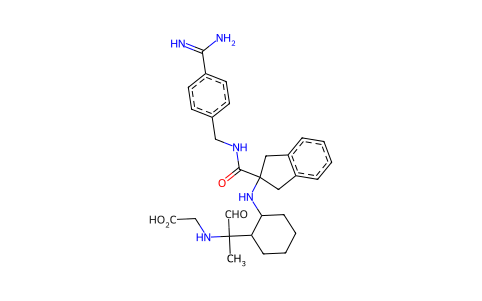 CC(C=O)(NCC(=O)O)C1CCCCC1NC1(C(=O)NCc2ccc(C(=N)N)cc2)Cc2ccccc2C1